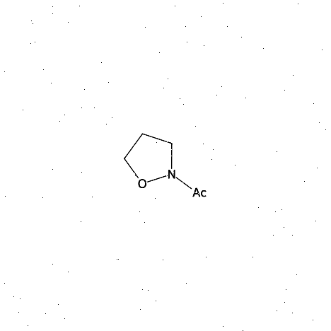 [CH2]C(=O)N1CCCO1